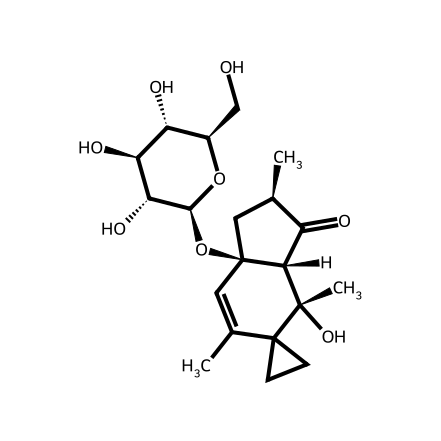 CC1=C[C@]2(O[C@@H]3O[C@H](CO)[C@@H](O)[C@H](O)[C@H]3O)C[C@@H](C)C(=O)[C@@H]2[C@](C)(O)C12CC2